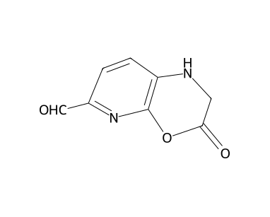 O=Cc1ccc2c(n1)OC(=O)CN2